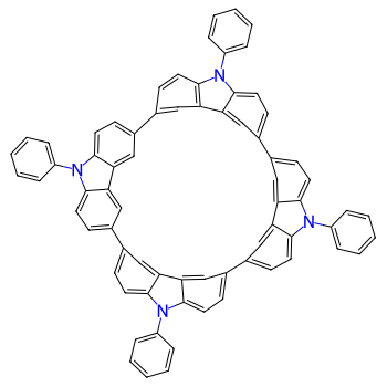 c1ccc(-n2c3ccc4cc3c3cc(ccc32)c2ccc3c(c2)c2cc(ccc2n3-c2ccccc2)c2ccc3c(c2)c2cc(ccc2n3-c2ccccc2)c2ccc3c(c2)c2cc4ccc2n3-c2ccccc2)cc1